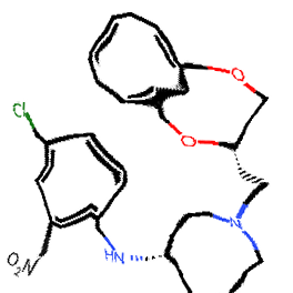 O=[N+]([O-])c1cc(Cl)ccc1N[C@H]1CCCN(C[C@H]2COc3ccccc3O2)C1